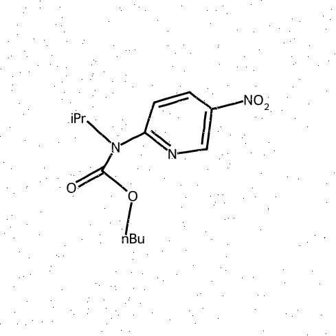 CCCCOC(=O)N(c1ccc([N+](=O)[O-])cn1)C(C)C